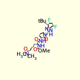 COC(=O)NC(CCC=CC(=O)N(C)C)C(=O)Nc1cccn(Cc2nc3c(CC(C)(C)C)c(F)cc(F)c3[nH]2)c1=O